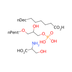 CCCCCCCCCCCCCCCC(=O)O.CCCCCOCC(O)COP(=O)(O)O.NC(CO)C(=O)O